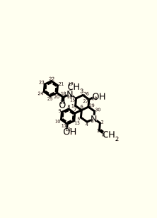 C=CCN1CCC2(c3cccc(O)c3)C[C@@H](N(C)C(=O)c3ccccc3)CC(O)C2C1